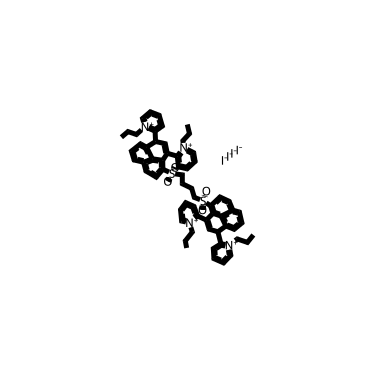 CCC[n+]1ccccc1C1=CC(c2cccc[n+]2CCC)c2cccc3ccc(S(=O)(=O)CCCCS(=O)(=O)c4ccc5cccc6c5c4C(c4cccc[n+]4CCC)=CC6c4cccc[n+]4CCC)c1c23.[I-].[I-].[I-].[I-]